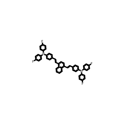 Fc1ccc(N(c2ccc(F)cc2)c2ccc(/C=C/c3ccc(/C=C/c4ccc(N(c5ccc(F)cc5)c5ccc(F)cc5)cc4)c4ccccc34)cc2)cc1